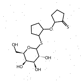 OC[C@H]1OC(SC2CCCC2OC2CCCC2=S)[C@H](O)[C@@H](O)[C@H]1O